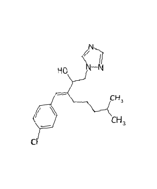 CC(C)CCC/C(=C\c1ccc(Cl)cc1)C(O)Cn1cncn1